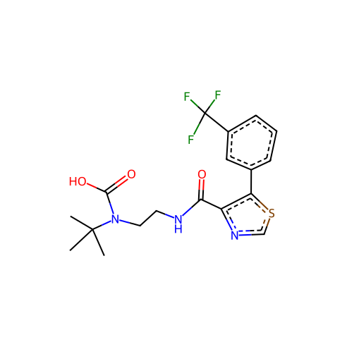 CC(C)(C)N(CCNC(=O)c1ncsc1-c1cccc(C(F)(F)F)c1)C(=O)O